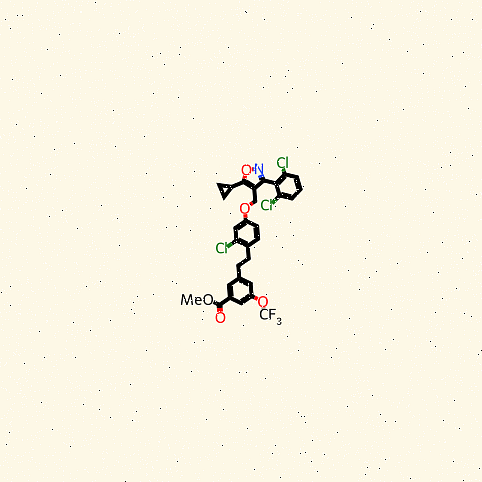 COC(=O)c1cc(CCc2ccc(OCc3c(-c4c(Cl)cccc4Cl)noc3C3CC3)cc2Cl)cc(OC(F)(F)F)c1